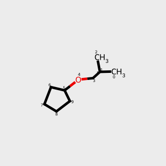 C[C](C)COC1CCCC1